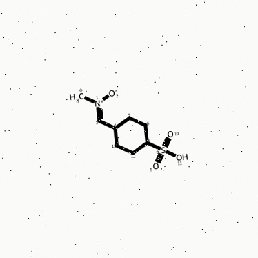 C[N+]([O-])=CC1CCC(S(=O)(=O)O)CC1